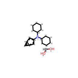 OBO.c1c2cc(N(C3CCCCC3)C3CCCCC3)cc1-2